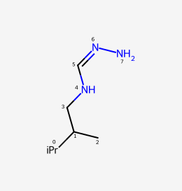 CC(C)C(C)CN/C=N\N